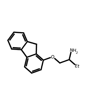 CCC(N)COc1cccc2c1Cc1ccccc1-2